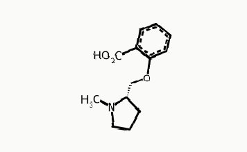 CN1CCC[C@H]1COc1ccccc1C(=O)O